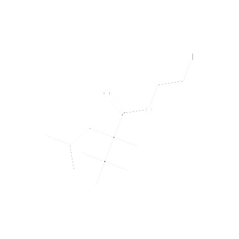 CC(C)CC(C)(C(=O)OCCI)C(C)(C)C